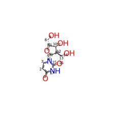 O=c1ccn([C@@H]2O[C@H](CO)C(O)[C@H]2CO)c(=O)[nH]1